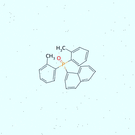 Cc1ccccc1P(=O)(c1ccccc1C)c1cccc2ccccc12